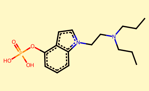 CCCN(CCC)CCn1ccc2c(OP(=O)(O)O)cccc21